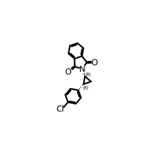 O=C1c2ccccc2C(=O)N1[C@@H]1C[C@@H]1c1ccc(Cl)cc1